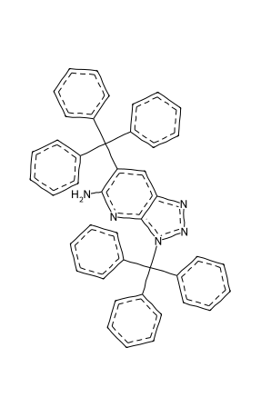 Nc1nc2c(cc1C(c1ccccc1)(c1ccccc1)c1ccccc1)nnn2C(c1ccccc1)(c1ccccc1)c1ccccc1